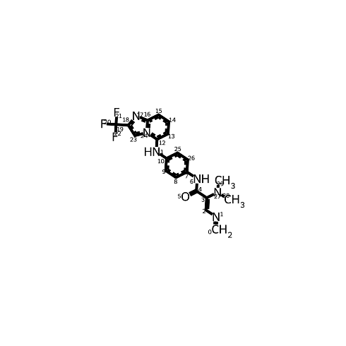 C=N/C=C(/C(=O)Nc1ccc(Nc2cccc3nc(C(F)(F)F)cn23)cc1)N(C)C